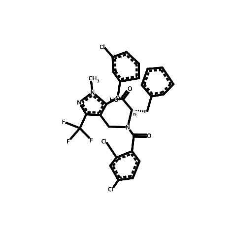 Cn1nc(C(F)(F)F)c(CN(C(=O)c2ccc(Cl)cc2Cl)[C@@H](Cc2ccccc2)C(=O)O)c1Oc1cccc(Cl)c1